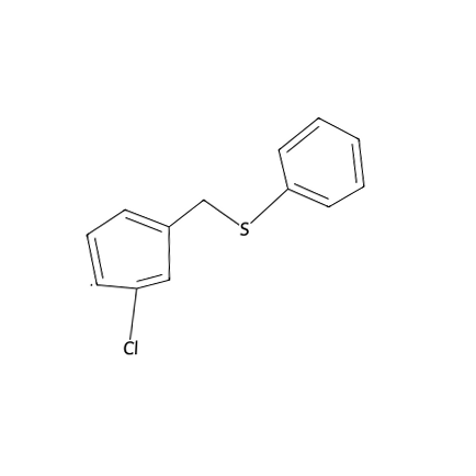 Clc1[c]ccc(CSc2ccccc2)c1